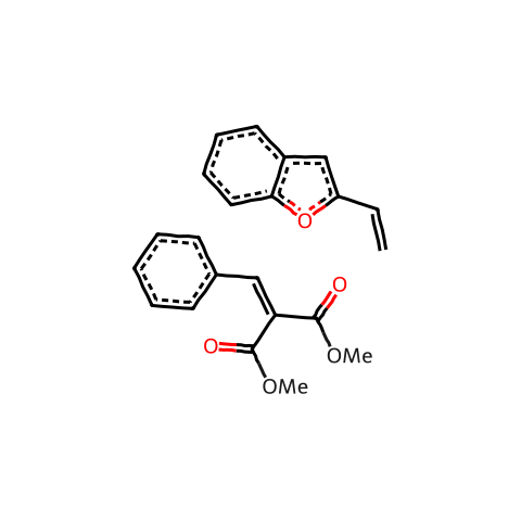 C=Cc1cc2ccccc2o1.COC(=O)C(=Cc1ccccc1)C(=O)OC